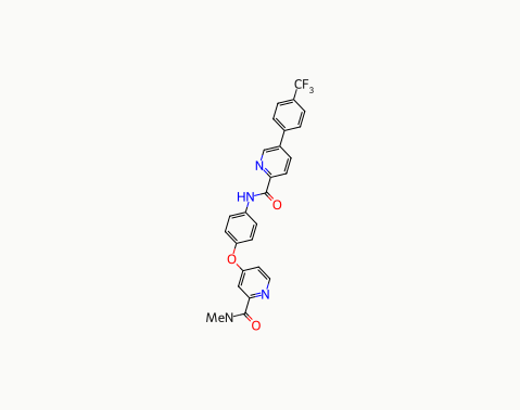 CNC(=O)c1cc(Oc2ccc(NC(=O)c3ccc(-c4ccc(C(F)(F)F)cc4)cn3)cc2)ccn1